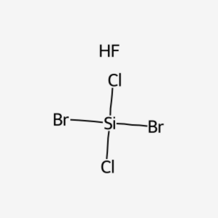 Cl[Si](Cl)(Br)Br.F